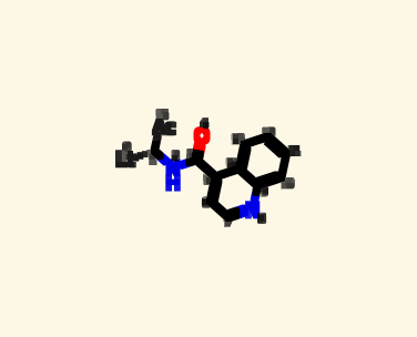 CC[C@@H](NC(=O)c1ccnc2ccccc12)C(C)=O